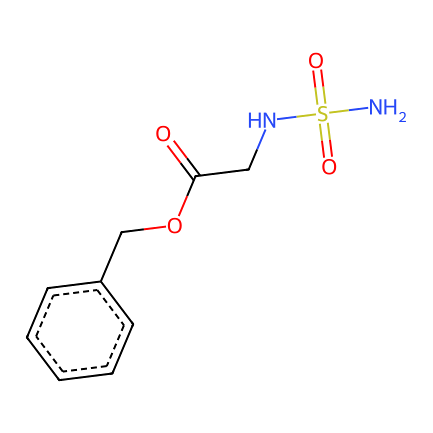 NS(=O)(=O)NCC(=O)OCc1ccccc1